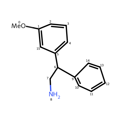 COc1cccc(C(CN)c2ccccc2)c1